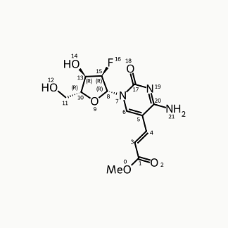 COC(=O)C=Cc1cn([C@@H]2O[C@H](CO)[C@@H](O)[C@H]2F)c(=O)nc1N